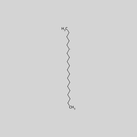 CCCCC[CH]CCCCCCCCCCCCCC